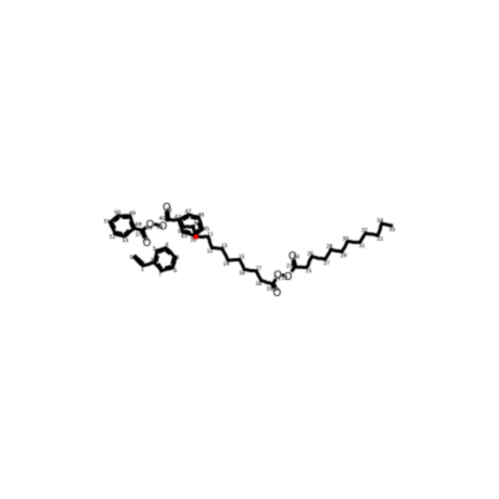 C=Cc1ccccc1.CCCCCCCCCCCC(=O)OOC(=O)CCCCCCCCCCC.O=C(OOC(=O)c1ccccc1)c1ccccc1